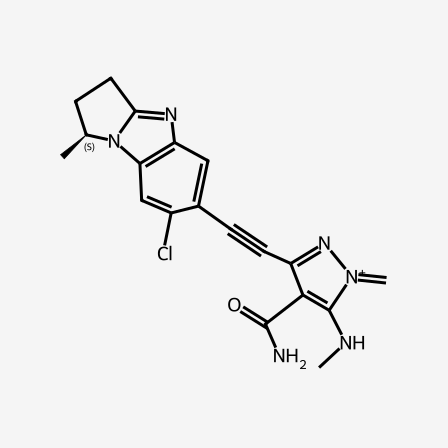 C=[N+]1N=C(C#Cc2cc3nc4n(c3cc2Cl)[C@@H](C)CC4)C(C(N)=O)=C1NC